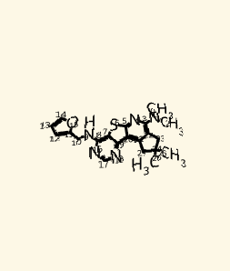 CN(C)c1nc2sc3c(NCc4ccco4)ncnc3c2c2c1CC(C)(C)C2